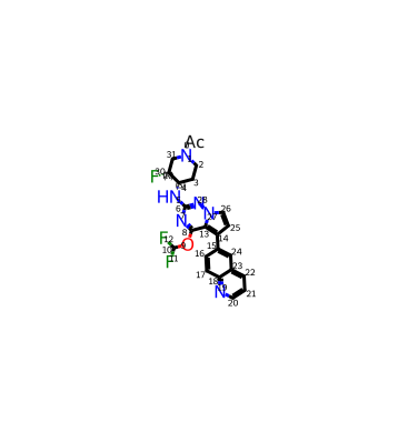 CC(=O)N1CC[C@H](Nc2nc(OC(F)F)c3c(-c4ccc5ncccc5c4)ccn3n2)[C@H](F)C1